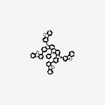 c1ccc(-n2c3c(ccc4c3c3cc(-c5cccc6c5oc5ccccc56)ccc3n4-c3ccc4oc5ccccc5c4c3)c3ccc4c(c5cc(-c6cccc7c6oc6ccccc67)ccc5n4-c4ccc5oc6ccccc6c5c4)c32)cc1